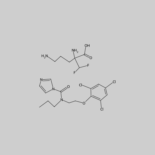 CCCN(CCOc1c(Cl)cc(Cl)cc1Cl)C(=O)n1ccnc1.NCCCC(N)(C(=O)O)C(F)F